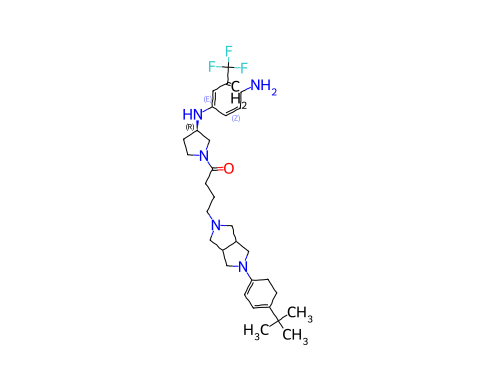 C=C(/C=C(\C=C/CN)N[C@@H]1CCN(C(=O)CCCN2CC3CN(C4=CC=C(C(C)(C)C)CC4)CC3C2)C1)C(F)(F)F